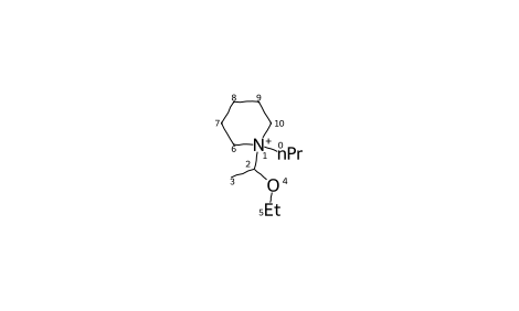 CCC[N+]1(C(C)OCC)CCCCC1